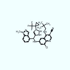 Cn1ncc2c([C@H](Nc3cc(Cl)c4ncc(C#N)c(NCC(C)(C)C)c4c3)C3=CN(C4(C(F)(F)F)CC4)NN3)cccc21